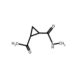 CNC(=O)C1CC1C(C)=O